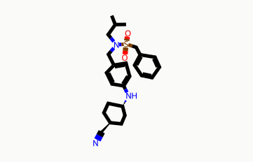 CC(C)CN(Cc1ccc(N[C@H]2CC[C@H](C#N)CC2)cc1)S(=O)(=O)Cc1ccccc1